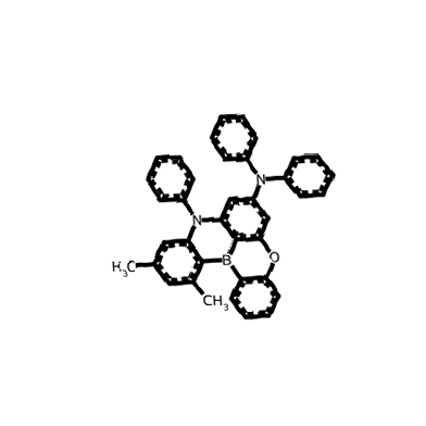 Cc1cc(C)c2c(c1)N(c1ccccc1)c1cc(N(c3ccccc3)c3ccccc3)cc3c1B2c1ccccc1O3